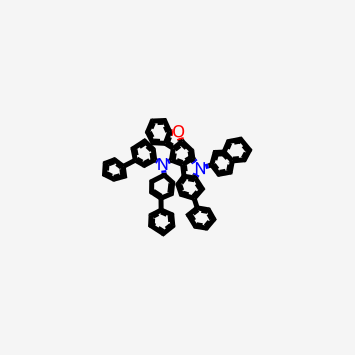 C1=CC(N(c2cccc(-c3ccccc3)c2)c2c3c(cc4c2c2ccc(-c5ccccc5)cc2n4-c2ccc4ccccc4c2)oc2ccccc23)CC=C1c1ccccc1